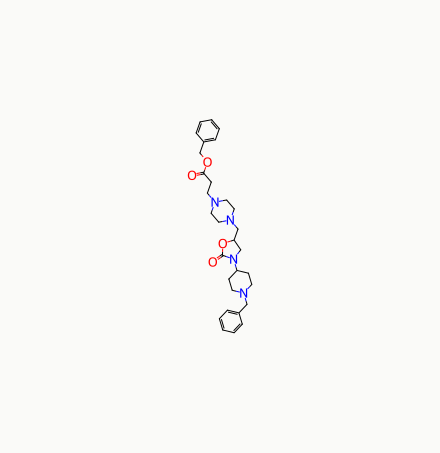 O=C(CCN1CCN(CC2CN(C3CCN(Cc4ccccc4)CC3)C(=O)O2)CC1)OCc1ccccc1